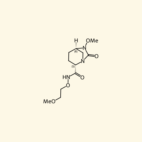 COCCONC(=O)[C@@H]1CC[C@@H]2CN1C(=O)N2OC